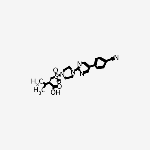 CC(C)[C@@H](CS(=O)(=O)N1CCN(c2ncc(-c3ccc(C#N)cc3)cn2)CC1)C(=O)O